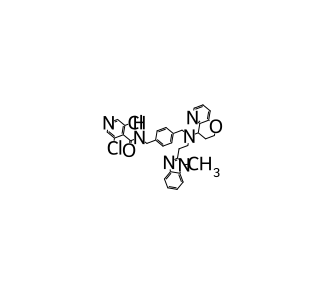 Cn1c(CCN(Cc2ccc(CNC(=O)c3c(Cl)cncc3Cl)cc2)C2CCOc3cccnc32)nc2ccccc21